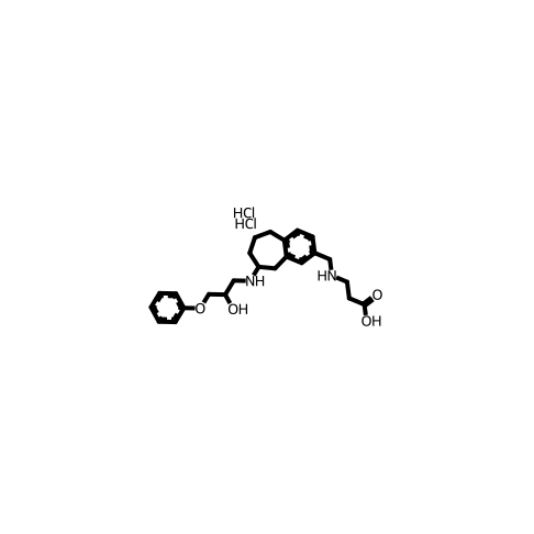 Cl.Cl.O=C(O)CCNCc1ccc2c(c1)CC(NCC(O)COc1ccccc1)CCC2